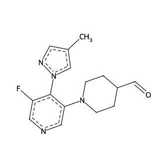 Cc1cnn(-c2c(F)cncc2N2CCC(C=O)CC2)c1